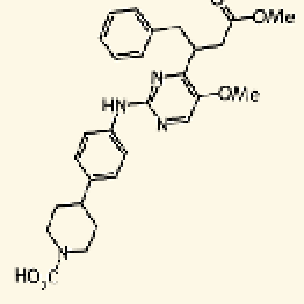 COC(=O)CC(Cc1ccccc1)c1nc(Nc2ccc(C3CCN(C(=O)O)CC3)cc2)ncc1OC